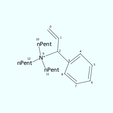 C=CC(c1ccccc1)[N+](CCCCC)(CCCCC)CCCCC